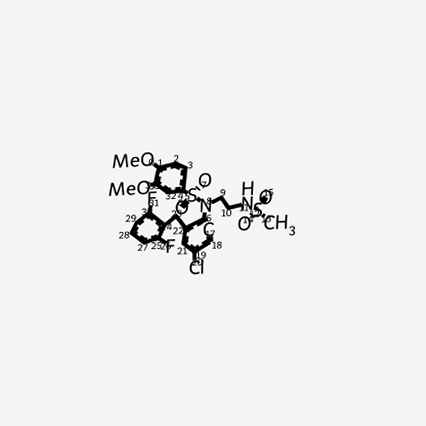 COc1ccc(S(=O)(=O)N(CCNS(C)(=O)=O)c2ccc(Cl)cc2Cc2c(F)cccc2F)cc1OC